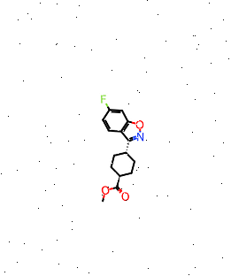 COC(=O)[C@H]1CC[C@H](c2noc3cc(F)ccc32)CC1